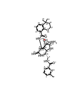 Cc1ccnc(C(=O)NC[C@@H]2NC(=N)N3CC(NC(=O)c4cccc5c4OCCC5(C)C)[C@](C)(O)C34C2NC(N)N4O)n1